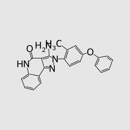 Cc1cc(Oc2ccccc2)ccc1-n1nc2c(c1N)c(=O)[nH]c1ccccc12